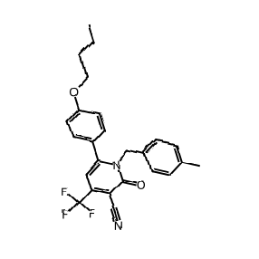 CCCCOc1ccc(-c2cc(C(F)(F)F)c(C#N)c(=O)n2Cc2ccc(C)cc2)cc1